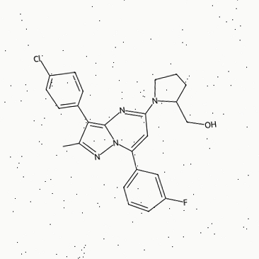 Cc1nn2c(-c3cccc(F)c3)cc(N3CCCC3CO)nc2c1-c1ccc(Cl)cc1